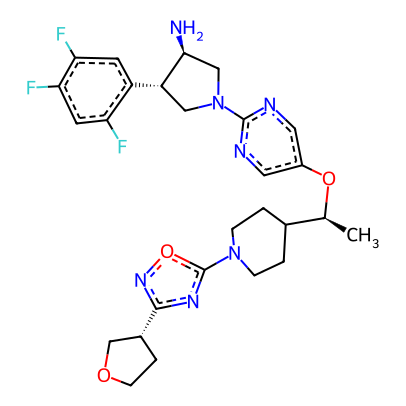 C[C@H](Oc1cnc(N2C[C@H](c3cc(F)c(F)cc3F)[C@@H](N)C2)nc1)C1CCN(c2nc([C@@H]3CCOC3)no2)CC1